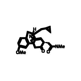 CNC(=O)C[C@H]1C=C2[C@H]3Cc4ccc(OC)cc4[C@@]2(CCN3CC2CC2)CC1=O